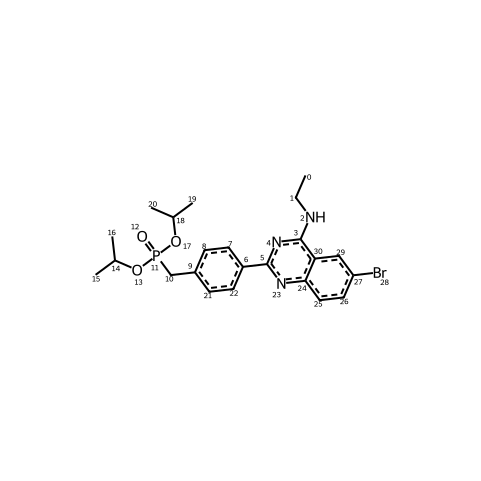 CCNc1nc(-c2ccc(CP(=O)(OC(C)C)OC(C)C)cc2)nc2ccc(Br)cc12